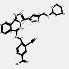 N#Cc1cc(C(=O)O)ccc1COc1nn2c(-c3cc(COC4CCCCO4)on3)nnc2c2ccccc12